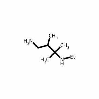 CCNC(C)(C)C(C)CN